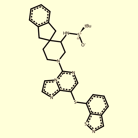 CC(C)(C)[S@@+]([O-])NC1CN(c2ncc(Sc3cccc4cnsc34)c3nccn23)CCC12Cc1ccccc1C2